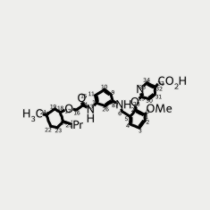 COc1cccc(CNc2cccc(NC(=O)COC3CC(C)CCC3C(C)C)c2)c1Oc1ccc(C(=O)O)cn1